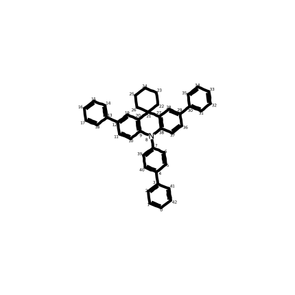 c1ccc(-c2ccc(N3c4ccc(-c5ccccc5)cc4C4(CCCCC4)c4cc(-c5ccccc5)ccc43)cc2)cc1